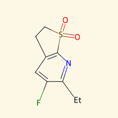 CCc1nc2c(cc1F)CCS2(=O)=O